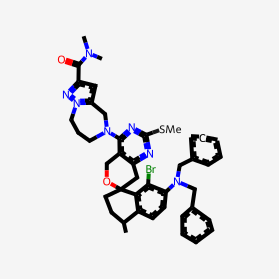 CSc1nc2c(c(N3CCCn4nc(C(=O)N(C)C)cc4C3)n1)COC1(CCC(C)c3ccc(N(Cc4ccccc4)Cc4ccccc4)c(Br)c31)C2